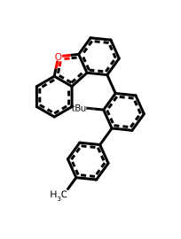 Cc1ccc(-c2cccc(-c3cccc4oc5ccccc5c34)c2C(C)(C)C)cc1